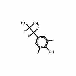 Cc1cc(C(F)(F)C(N)(F)C(F)(F)F)cc(C)c1O